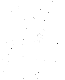 C=C1C(O)[C@@H](CO)O[C@H]1n1cc(F)c(NC(=O)CCCCCCCCCCCCCCCCC)nc1=O